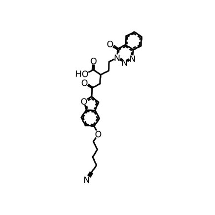 N#CCCCCOc1ccc2oc(C(=O)CC(CCn3nnc4ccccc4c3=O)C(=O)O)cc2c1